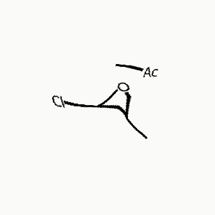 CC(C)=O.CC1OC1Cl